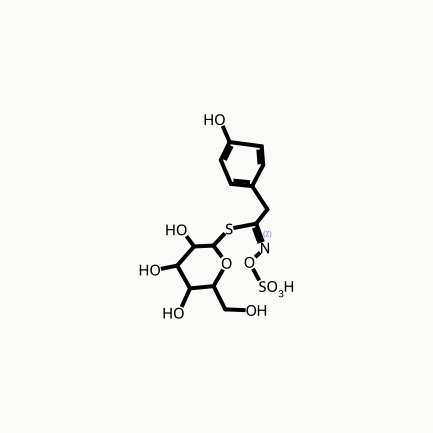 O=S(=O)(O)O/N=C(/Cc1ccc(O)cc1)SC1OC(CO)C(O)C(O)C1O